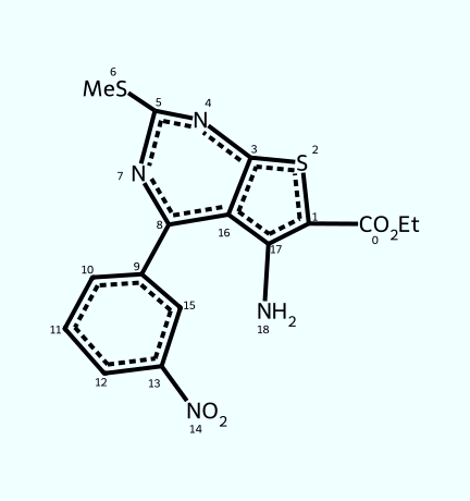 CCOC(=O)c1sc2nc(SC)nc(-c3cccc([N+](=O)[O-])c3)c2c1N